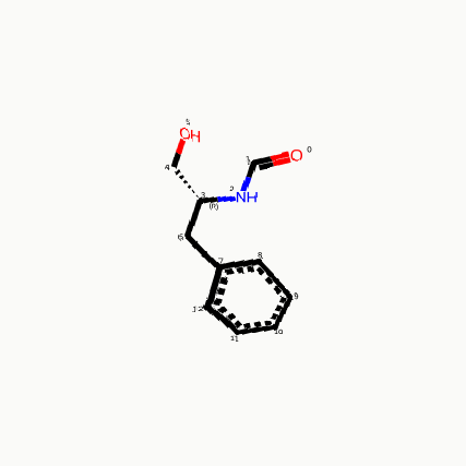 O=[C]N[C@@H](CO)Cc1ccccc1